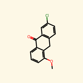 COc1cccc2c1Cc1ccc(Cl)cc1C2=O